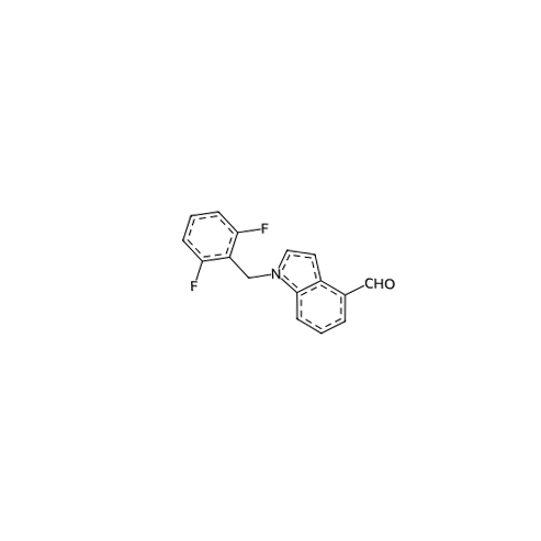 O=Cc1cccc2c1ccn2Cc1c(F)cccc1F